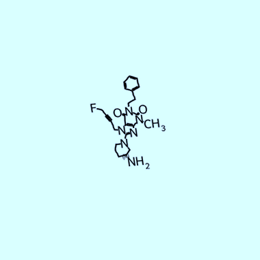 Cn1c(=O)n(CCc2ccccc2)c(=O)c2c1nc(N1CCC[C@@H](N)C1)n2CC#CCF